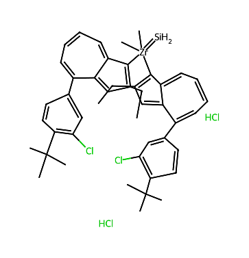 CCc1cc2c(-c3ccc(C(C)(C)C)c(Cl)c3)ccccc-2[c]1[Zr]([CH3])([CH3])(=[SiH2])[c]1c(CC)cc2c(-c3ccc(C(C)(C)C)c(Cl)c3)ccccc1-2.Cl.Cl